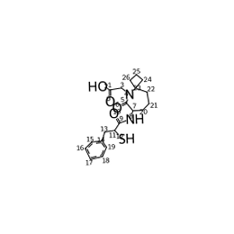 O=C(O)CN1C(=O)C(NC(=O)C(S)Cc2ccccc2)CCCC12CCC2